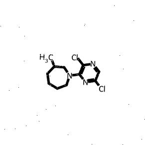 CC1CCCCN(c2nc(Cl)cnc2Cl)C1